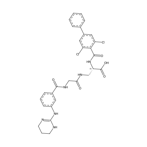 O=C(CNC(=O)c1cccc(NC2=NCCCN2)c1)NC[C@H](NC(=O)c1c(Cl)cc(-c2ccccc2)cc1Cl)C(=O)O